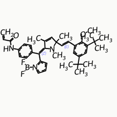 C=CC(=O)Nc1ccc(/C(=C2\C(C)=CC(C)(/C=C/c3cc(C(C)(C)C)cc(C(C)(C)C)c3OC)N2C)c2cccn2B(F)F)cc1